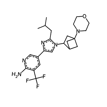 CC(C)Cc1nc(-c2cnc(N)c(C(F)(F)F)c2)cn1C1CC2(N3CCOCC3)CC1C2